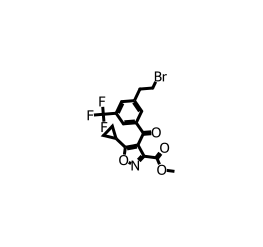 COC(=O)c1noc(C2CC2)c1C(=O)c1cc(CCBr)cc(C(F)(F)F)c1